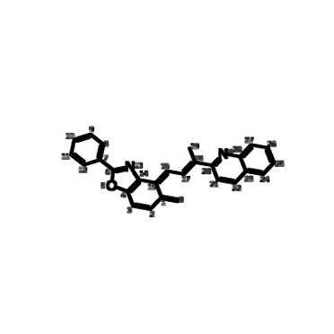 C=c1ccc2oc(-c3ccccc3)nc2/c1=C/C=C(\C)c1ccc2ccccc2n1